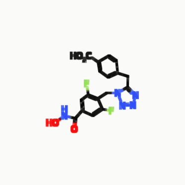 O=C(O)c1ccc(Cc2nnnn2Cc2c(F)cc(C(=O)NO)cc2F)cc1